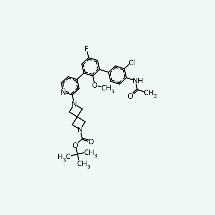 COc1c(-c2ccnc(N3CC4(CN(C(=O)OC(C)(C)C)C4)C3)c2)cc(F)cc1-c1ccc(NC(C)=O)c(Cl)c1